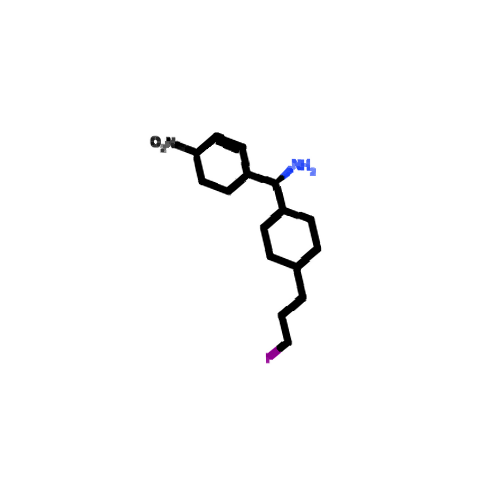 N[C@H](C1C=CC([N+](=O)[O-])CC1)C1CCC(CCCI)CC1